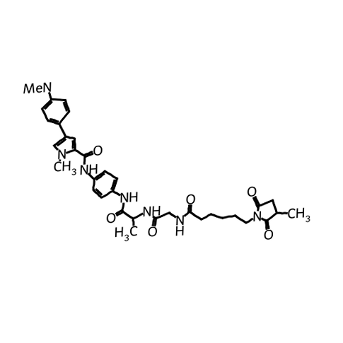 CNc1ccc(-c2cc(C(=O)Nc3ccc(NC(=O)C(C)NC(=O)CNC(=O)CCCCCN4C(=O)CC(C)C4=O)cc3)n(C)c2)cc1